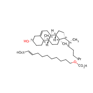 CC(C)CCC[C@@H](C)[C@H]1CC[C@H]2[C@@H]3CC=C4C[C@@H](O)CC[C@]4(C)[C@H]3CC[C@]12C.CCCCCCCCC=CCCCCCCCCOC(=O)O